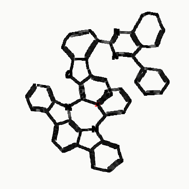 C1=Cc2c(nc(-c3cccc4oc5c(-n6c7ccccc7c7ccc8c9ccccc9n(-c9ccccc9)c8c76)cccc5c34)nc2-c2ccccc2)CC1